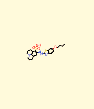 CCCCOc1ccc2nc(N=Nc3cc4c5c(c3S(=O)(=O)O)CCCN5CCC4)sc2c1